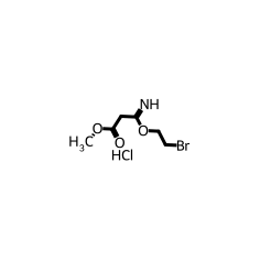 COC(=O)CC(=N)OCCBr.Cl